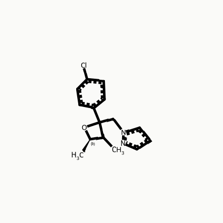 CC1[C@@H](C)OC1(Cn1cccn1)c1ccc(Cl)cc1